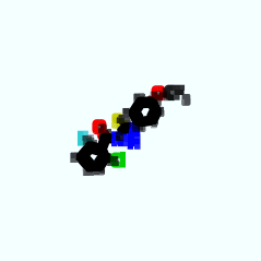 O=C(NC(=S)Nc1ccc(OC(F)(F)F)cc1)c1c(F)cccc1Cl